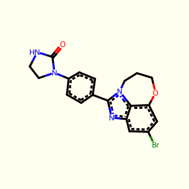 O=C1NCCN1c1ccc(-c2nc3cc(Br)cc4c3n2CCCO4)cc1